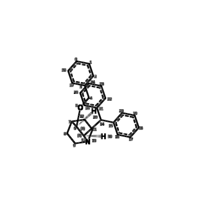 c1ccc(CO[C@@H]2C3CCN(CC3)[C@@H]2C(c2ccccc2)c2ccccc2)cc1